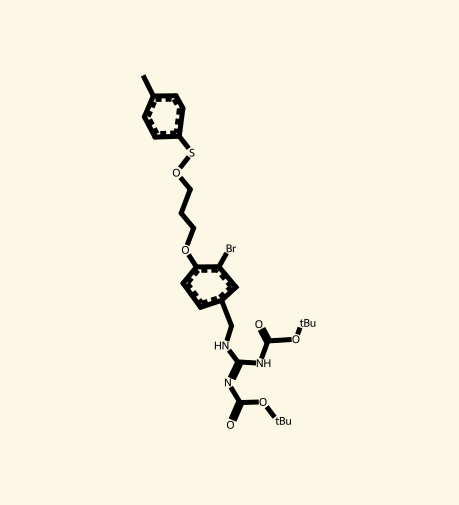 Cc1ccc(SOCCCOc2ccc(CNC(=NC(=O)OC(C)(C)C)NC(=O)OC(C)(C)C)cc2Br)cc1